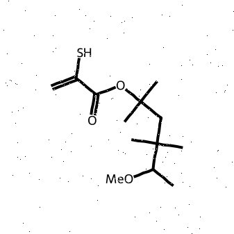 C=C(S)C(=O)OC(C)(C)CC(C)(C)C(C)OC